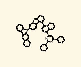 c1ccc(-c2nc(-c3ccccc3)nc(-c3ccc(-c4cccc5oc6cc(-n7c8ccccc8c8cc9ccccc9cc87)ccc6c45)c4ccccc34)n2)cc1